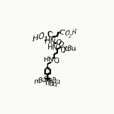 CCC[CH2][Sn]([CH2]CCC)([CH2]CCC)[c]1ccc(CCNC(=O)CCC(NC(=O)NC(CCC(=O)O)C(=O)O)C(=O)OC(C)(C)C)cc1